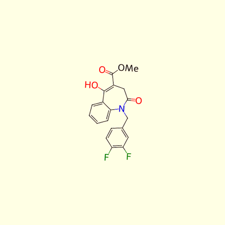 COC(=O)C1=C(O)c2ccccc2N(Cc2ccc(F)c(F)c2)C(=O)C1